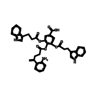 C=C(CCC(=O)Oc1c(OC(=O)CCc2c[nH]c3ccccc23)cc(C(=O)O)cc1OC(=O)CCc1c[nH]c2ccccc12)c1ccccc1N